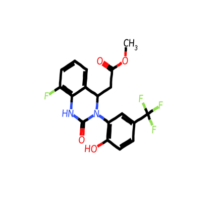 COC(=O)CC1c2cccc(F)c2NC(=O)N1c1cc(C(F)(F)F)ccc1O